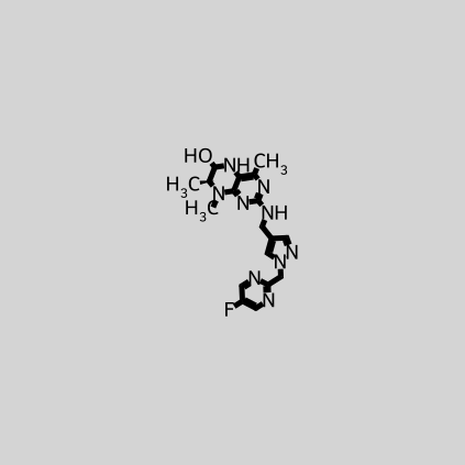 Cc1nc(NCc2cnn(Cc3ncc(F)cn3)c2)nc2c1NC(O)[C@H](C)N2C